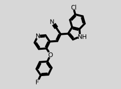 N#CC(=Cc1cnccc1Oc1ccc(F)cc1)c1c[nH]c2ccc(Cl)cc12